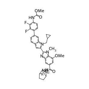 COC(=O)Nc1ccc(-c2ccc3cc(-c4nc5cc(C(=O)N6CC7CCC6[C@@H]7N)cc(OC)c5n4C)n(CC4CC4)c3c2)c(F)c1F